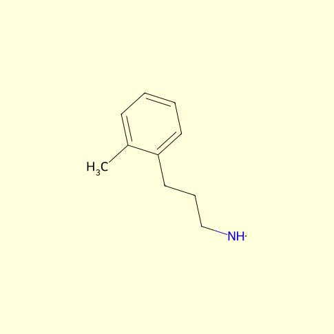 Cc1ccccc1CCC[NH]